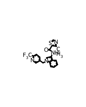 Cc1ncsc1C(=O)Nc1cn(Cc2ccc(C(F)(F)F)nc2)c2ccccc12